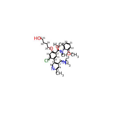 C/N=C/c1cc(C)ncc1-c1cc(C(=O)N(C)c2c(C)cccc2OC)c(OCCCCO)cc1Cl